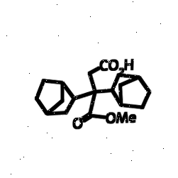 COC(=O)C(CC(=O)O)(C1CC2CCC1C2)C1CC2CCC1C2